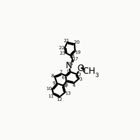 COc1ccc2c(ccc3ccccc32)c1N=Cc1ccccc1